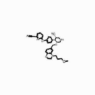 COCCCN1CCOc2ccc(CO[C@H]3CNC[C@@H](O)[C@@H]3c3ccc(Oc4cccc(C#N)n4)cc3)cc21